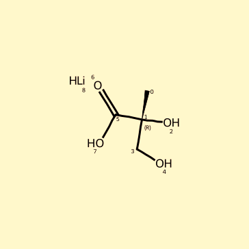 C[C@@](O)(CO)C(=O)O.[LiH]